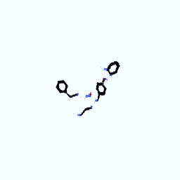 NCCCN(Cc1ccc(C(=O)Nc2ccccc2N)cc1)C(=O)NCCc1ccccc1